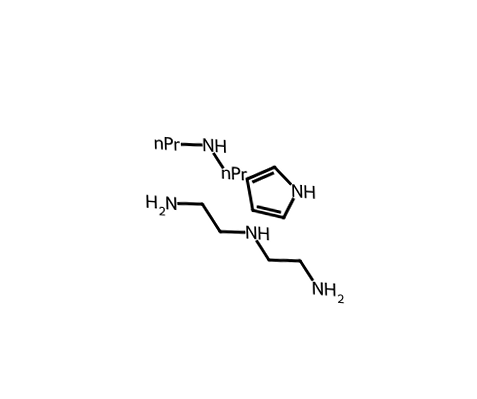 CCCNCCC.NCCNCCN.c1cc[nH]c1